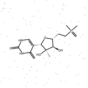 C=C1NC(=O)NC=C1[C@@H]1O[C@H](CCP(=C)(C)C)[C@@H](O)[C@@]1(C)O